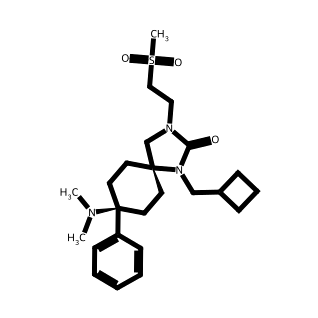 CN(C)[C@]1(c2ccccc2)CC[C@@]2(CC1)CN(CCS(C)(=O)=O)C(=O)N2CC1CCC1